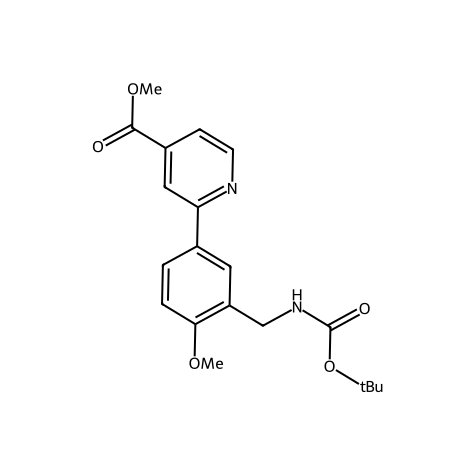 COC(=O)c1ccnc(-c2ccc(OC)c(CNC(=O)OC(C)(C)C)c2)c1